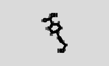 O=C(O)c1ccc(C#CCO)cn1